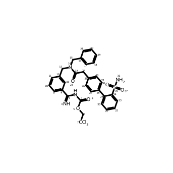 N=C(NC(=O)OCC(Cl)(Cl)Cl)c1cccc(CN(Cc2ccccc2)C(=O)Cc2ccc(-c3ccccc3S(N)(=O)=O)cc2)c1